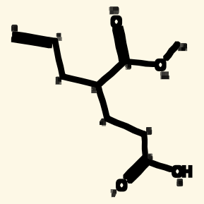 C=CCC(CCC(=O)O)C(=O)OC